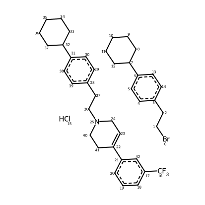 BrCCc1ccc(C2CCCCC2)cc1.Cl.FC(F)(F)c1cccc(C2=CCN(CCc3ccc(C4CCCCC4)cc3)CC2)c1